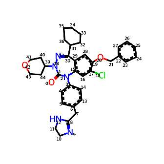 O=C1N(c2ccc(CC3=NCCN3)cc2)c2cc(Cl)c(OCc3ccccc3)cc2C(C2CCCCC2)=NN1C1CCOCC1